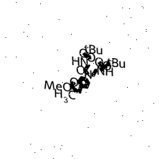 COC(=O)[C@@H](C)Cc1ccc(N(CCNC(=O)OC(C)(C)C)C(=O)CNC(=O)OC(C)(C)C)cc1